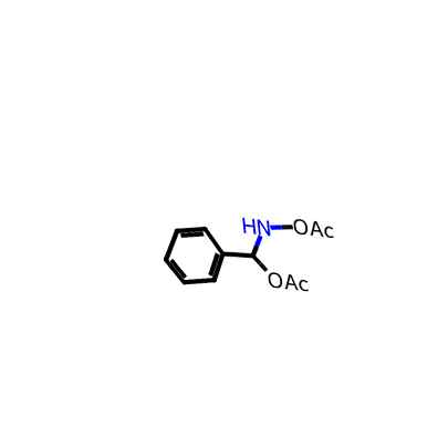 CC(=O)ONC(OC(C)=O)c1ccccc1